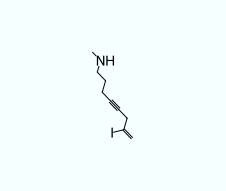 C=C(I)CC#CCCCNC